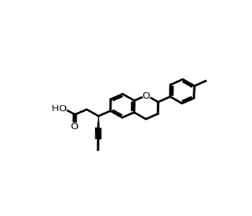 CC#C[C@@H](CC(=O)O)c1ccc2c(c1)CCC(c1ccc(C)cc1)O2